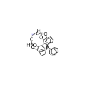 C1=C\C[C@H]2Oc3ccc(P(c4ccccc4)c4ccccc4)c(c3O2)-c2c(P(c3ccccc3)c3ccccc3)ccc3c2O[C@H](C/1)O3